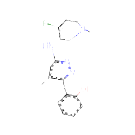 Cc1cc(N[C@H]2CN(C)CC[C@@H]2F)nnc1-c1ccccc1O